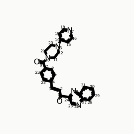 O=C(C=Cc1ccc(C(=O)N2CCN(c3ccncc3)CC2)cc1)c1cnc2ccccc2n1